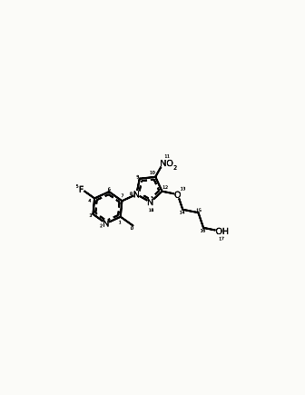 Cc1ncc(F)cc1-n1cc([N+](=O)[O-])c(OCCCO)n1